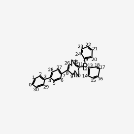 c1ccc(-c2ccc(-c3cnc(P(c4ccccc4)c4ccccc4)nc3)cc2)cc1